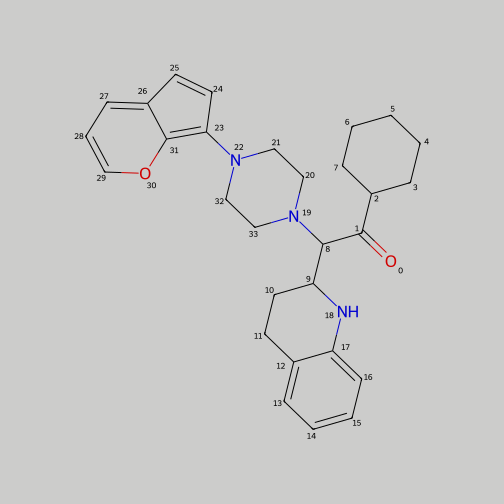 O=C(C1CCCCC1)C(C1CCc2ccccc2N1)N1CCN(c2ccc3cccoc2-3)CC1